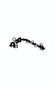 C=C1CCC(N2Cc3cc(C#CCOCCOCCOCCC(=O)OC(C)(C)C)ccc3C2=O)C(=O)N1